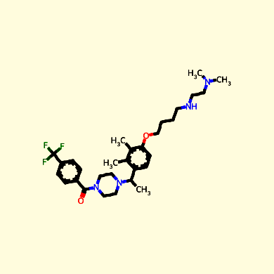 Cc1c(OCCCCNCCN(C)C)ccc(C(C)N2CCN(C(=O)c3ccc(C(F)(F)F)cc3)CC2)c1C